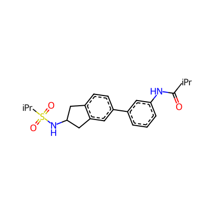 CC(C)C(=O)Nc1cccc(-c2ccc3c(c2)CC(NS(=O)(=O)C(C)C)C3)c1